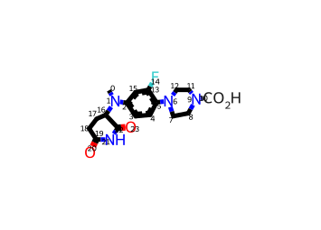 CN(c1ccc(N2CCN(C(=O)O)CC2)c(F)c1)C1CCC(=O)NC1=O